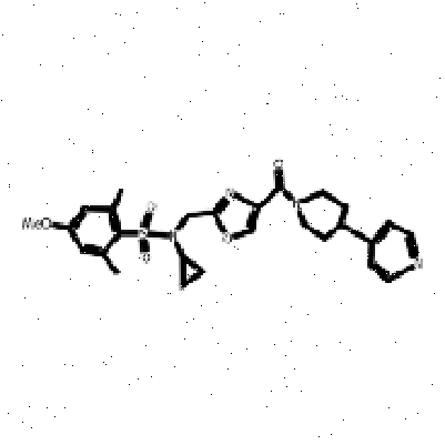 COc1cc(C)c(S(=O)(=O)N(Cc2nc(C(=O)N3CCC(c4ccncc4)CC3)co2)C2CC2)c(C)c1